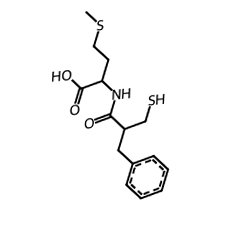 CSCCC(NC(=O)C(CS)Cc1ccccc1)C(=O)O